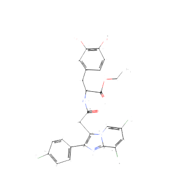 CCOC(=O)C(Cc1ccc(O)c(O)c1)NC(=O)Cc1c(-c2ccc(Cl)cc2)nc2c(Cl)cc(Cl)cn12